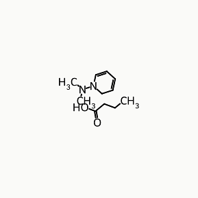 CCCC(=O)O.CN(C)N1C=CC=CC1